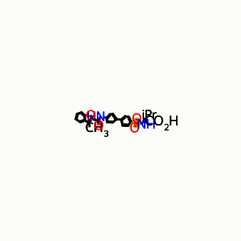 Cc1c(C(=O)Nc2ccc(-c3ccc(S(=O)(=O)N[C@@H](C(=O)O)C(C)C)cc3)cc2)oc2ccccc12